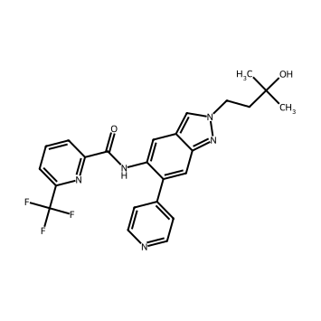 CC(C)(O)CCn1cc2cc(NC(=O)c3cccc(C(F)(F)F)n3)c(-c3ccncc3)cc2n1